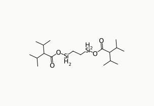 CC(C)C(C(=O)O[SiH2]CC[SiH2]OC(=O)C(C(C)C)C(C)C)C(C)C